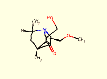 COC[C@@]1(CO)C(=O)[C@]2(C)CCN1[C@@H](C)C2